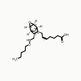 CCCCCONC[C@@H]1[C@H](C/C=C\CCCC(=O)O)[C@H]2O[C@@H]1[C@H]1O[C@H]12